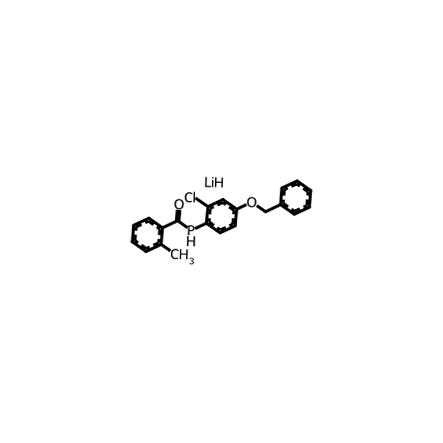 Cc1ccccc1C(=O)Pc1ccc(OCc2ccccc2)cc1Cl.[LiH]